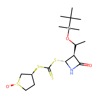 CC(O[Si](C)(C)C(C)(C)C)[C@H]1C(=O)N[C@@H]1SC(=S)S[C@H]1CC[S@@+]([O-])C1